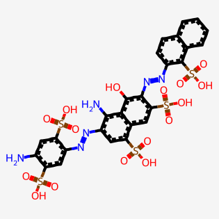 Nc1cc(S(=O)(=O)O)c(N=Nc2cc(S(=O)(=O)O)c3cc(S(=O)(=O)O)c(N=Nc4ccc5ccccc5c4S(=O)(=O)O)c(O)c3c2N)cc1S(=O)(=O)O